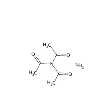 CC(=O)N(C(C)=O)C(C)=O.N